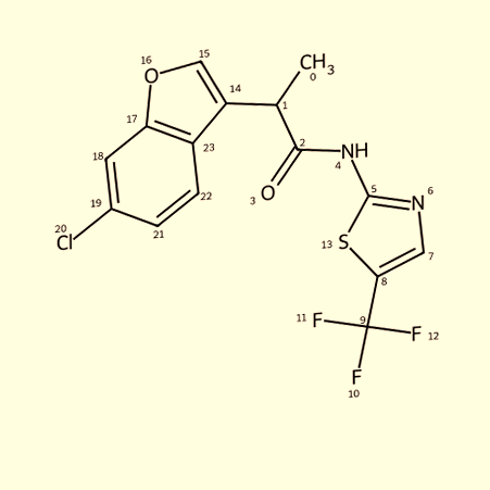 CC(C(=O)Nc1ncc(C(F)(F)F)s1)c1coc2cc(Cl)ccc12